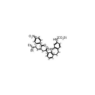 CCOC(=O)Nc1ccc2c(c1)Nc1c(cccc1C(=O)CN(CCN(CC)CC)C(=O)c1ccc([N+](=O)[O-])cc1)CC2